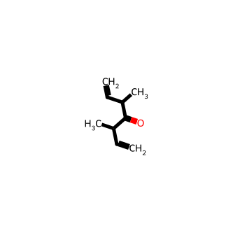 C=CC(C)C(=O)C(C)C=C